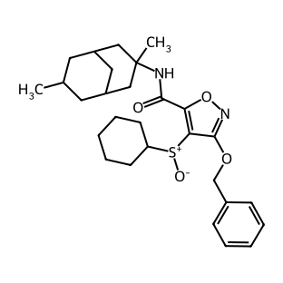 CC1CC2CC(C1)CC(C)(NC(=O)c1onc(OCc3ccccc3)c1[S+]([O-])C1CCCCC1)C2